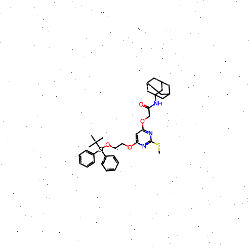 CSc1nc(OCCO[Si](c2ccccc2)(c2ccccc2)C(C)(C)C)cc(OCC(=O)NC23CC4CC(CC(C4)C2)C3)n1